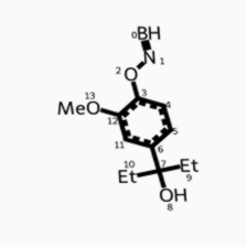 B=NOc1ccc(C(O)(CC)CC)cc1OC